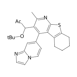 CC(=O)C(OC(C)(C)C)c1c(C)nc2sc3c(c2c1-c1ccn2ccnc2c1)CCCC3